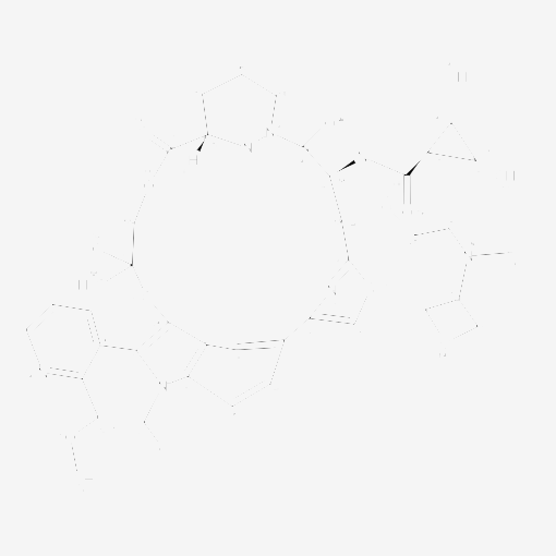 CCn1c(-c2cccnc2[C@H](C)OC)c2c3cc(ccc31)-c1csc(n1)[C@@H](OCCN(C)C1COC1)[C@H](NC(=O)[C@H]1[C@H](C)[C@@H]1C)C(=O)N1CCC[C@H](N1)C(=O)OCC(C)(C)C2